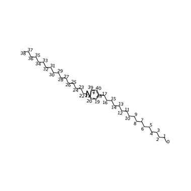 CCCCCCCCCCCCCCCCCCc1cc[n+](CCCCCCCCCCCCCCCCC)cc1